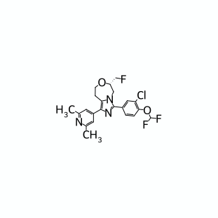 Cc1cc(-c2nc(-c3ccc(OC(F)F)c(Cl)c3)n3c2CCO[C@H](CF)C3)cc(C)n1